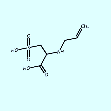 C=CCNC(CS(=O)(=O)O)C(=O)O